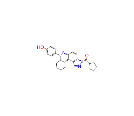 O=C(C1CCCC1)n1ncc2c3c4c(c(-c5ccc(O)cc5)nc3ccc21)CCCC4